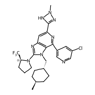 Cn1nc(-c2cc3nc(N4CCC[C@H]4C(F)(F)F)n(C[C@H]4CC[C@H](C)CC4)c3c(-c3cncc(Cl)c3)n2)[nH]1